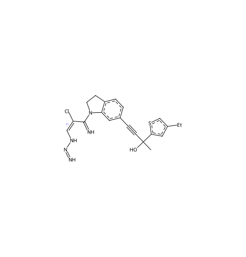 CCc1csc(C(C)(O)C#Cc2ccc3c(c2)N(C(=N)/C(Cl)=C\NN=N)CC3)c1